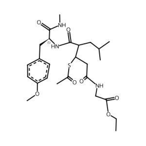 CCOC(=O)CNC(=O)CC(SC(C)=O)C(CC(C)C)C(=O)N[C@@H](Cc1ccc(OC)cc1)C(=O)NC